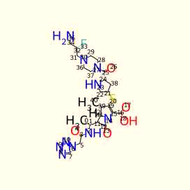 C[C@H](NC(=O)Cn1cnnn1)[C@@H]1C(=O)N2C(C(=O)O)=C(S[C@@H]3CN[C@H](C(=O)N4CCN(C[C@@H](F)CN)CC4)C3)[C@H](C)[C@@H]12